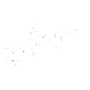 CCCNC(=O)C(=O)C(CCC)NC(=O)[C@@H]1C2C(CN1C(=O)[C@@H](NC(=O)NC1(CS(=O)(=O)CC)CCCCC1)C(C)(C)C)C2(C)C